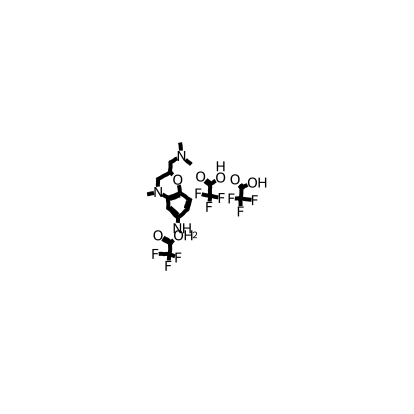 CN(C)CC1CN(C)c2cc(N)ccc2O1.O=C(O)C(F)(F)F.O=C(O)C(F)(F)F.O=C(O)C(F)(F)F